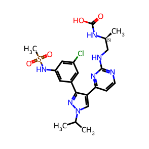 CC(C)n1cc(-c2ccnc(NC[C@H](C)NC(=O)O)n2)c(-c2cc(Cl)cc(NS(C)(=O)=O)c2)n1